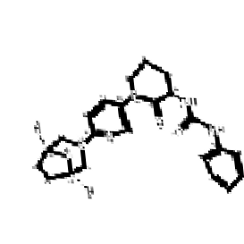 O=C(Nc1ccccc1)N[C@@H]1CCCN(c2ccc(N3C[C@H]4CC[C@@H](C3)O4)nc2)C1=O